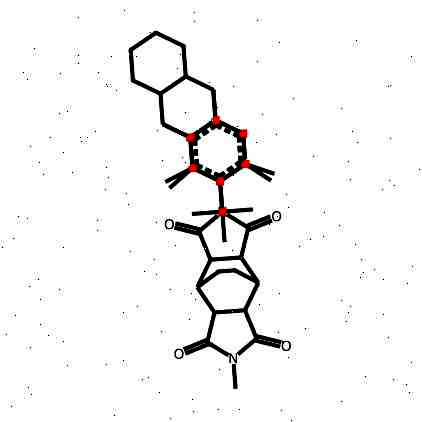 Cc1cc2c(c(C)c1N1C(=O)C3C4CCC(C5C(=O)N(C)C(=O)C45)C3C1=O)C1c3c(cc(C)c(C(C)(C)C)c3C)C2C2CCCCC12